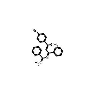 C=C(/N=C(\C=C(/C)c1ccc(Br)cc1)c1ccccc1)c1ccccc1